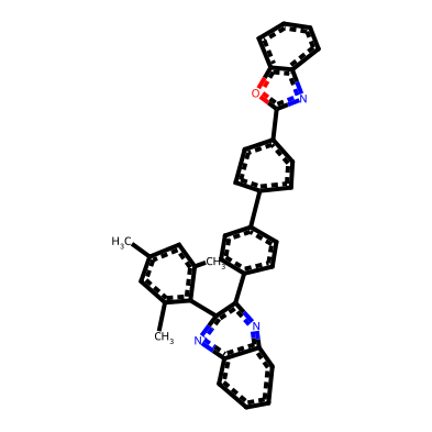 Cc1cc(C)c(-c2nc3ccccc3nc2-c2ccc(-c3ccc(-c4nc5ccccc5o4)cc3)cc2)c(C)c1